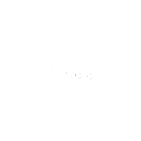 OCC(O)C(O)C(O)C(O)/C=N/c1nc2ccc(Oc3ccccc3)cc2[nH]1